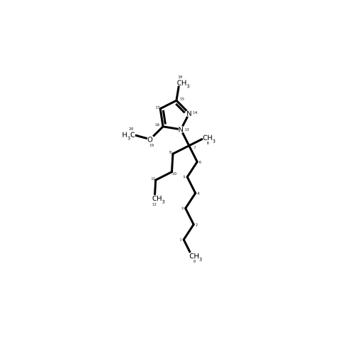 CCCCCCCC(C)(CCCC)n1nc(C)cc1OC